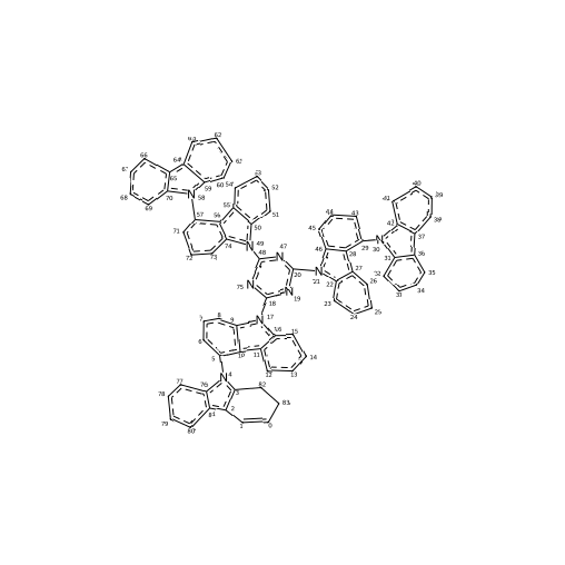 C1=Cc2c(n(-c3cccc4c3c3ccccc3n4-c3nc(-n4c5ccccc5c5c(-n6c7ccccc7c7ccccc76)cccc54)nc(-n4c5ccccc5c5c(-n6c7ccccc7c7ccccc76)cccc54)n3)c3ccccc23)CC1